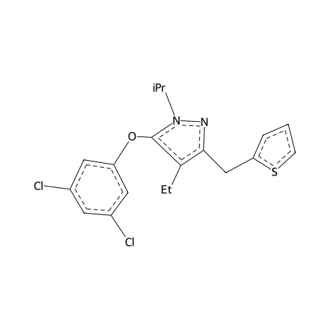 CCc1c(Cc2cccs2)nn(C(C)C)c1Oc1cc(Cl)cc(Cl)c1